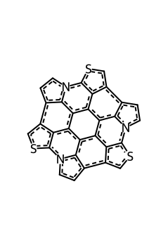 c1sc2c3c1c1ccn4c5scc6c7ccn8c9scc%10c%11ccn2c%11c2c(c%109)c(c(c65)c(c32)c14)c78